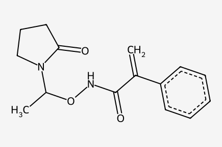 C=C(C(=O)NOC(C)N1CCCC1=O)c1ccccc1